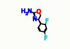 NC1=N[C@H](C2C=CC(F)=CC2F)CO1